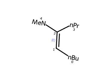 CCCC/C=C(\CCC)NC